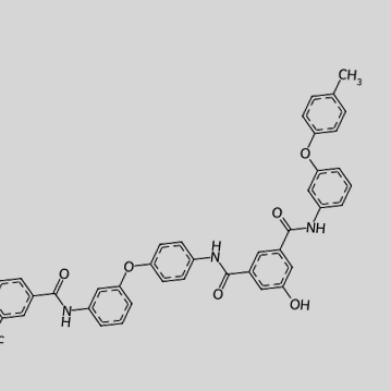 CC(=O)c1cccc(C(=O)Nc2cccc(Oc3ccc(NC(=O)c4cc(O)cc(C(=O)Nc5cccc(Oc6ccc(C)cc6)c5)c4)cc3)c2)c1